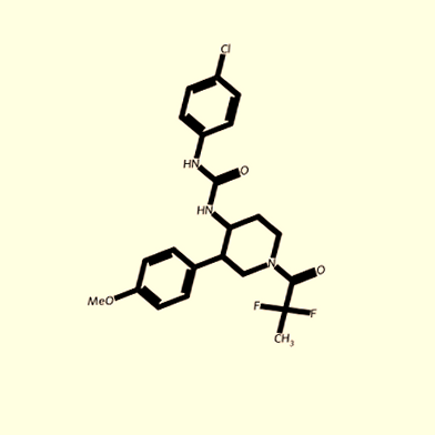 COc1ccc(C2CN(C(=O)C(C)(F)F)CCC2NC(=O)Nc2ccc(Cl)cc2)cc1